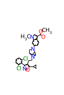 COC(=O)c1cn(C)c2cc(N3CC4C5C3C5N4CCc3c(-c4c(Cl)cccc4Cl)noc3C3CC3)ccc12